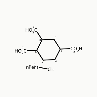 CCCCCCl.O=C(O)C1CCC(C(=O)O)C(C(=O)O)C1